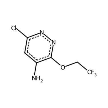 Nc1cc(Cl)nnc1OCC(F)(F)F